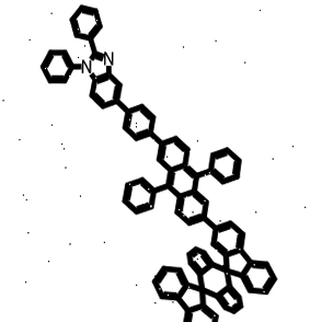 c1ccc(-c2c3ccc(-c4ccc5c(c4)C4(c6ccccc6-5)c5ccccc5C5(c6ccccc6-c6ccccc65)c5ccccc54)cc3c(-c3ccccc3)c3ccc(-c4ccc(-c5ccc6c(c5)nc(-c5ccccc5)n6-c5ccccc5)cc4)cc23)cc1